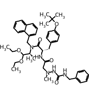 CCOC(OCC)[C@H](C)N(Cc1cccc2ccccc12)C(=O)[C@H](Cc1ccc(OC(C)(C)C)cc1)NC(=O)CN(C)NC(=O)NCc1ccccc1